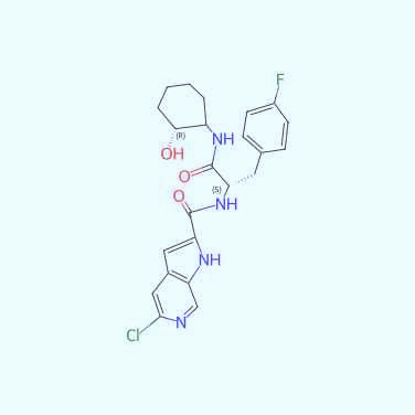 O=C(N[C@@H](Cc1ccc(F)cc1)C(=O)NC1CCCC[C@H]1O)c1cc2cc(Cl)ncc2[nH]1